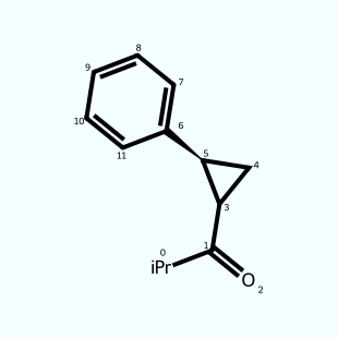 CC(C)C(=O)C1C[C@@H]1c1ccccc1